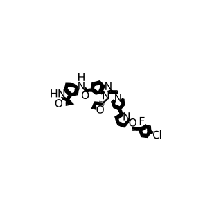 O=C(Nc1ccc2c(c1)C1(CC1)C(=O)N2)c1ccc2nc(CN3CC=C(c4cccc(OCc5ccc(Cl)cc5F)n4)CC3)n(C[C@@H]3CCO3)c2c1